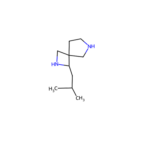 CC(C)CC1NCC12CCNC2